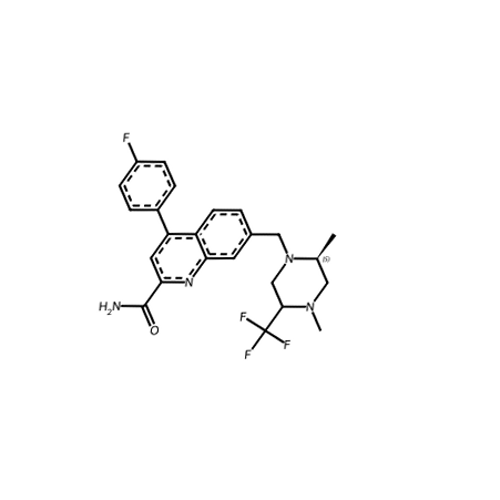 C[C@H]1CN(C)C(C(F)(F)F)CN1Cc1ccc2c(-c3ccc(F)cc3)cc(C(N)=O)nc2c1